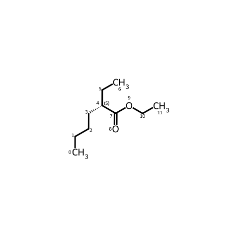 CCCC[C@H](CC)C(=O)OCC